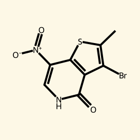 Cc1sc2c([N+](=O)[O-])c[nH]c(=O)c2c1Br